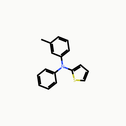 Cc1cccc(N(c2ccccc2)c2cccs2)c1